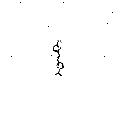 CC(C)n1ccc(C=Cc2csc(N)n2)n1